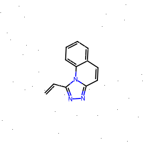 C=Cc1nnc2ccc3ccccc3n12